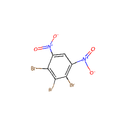 O=[N+]([O-])c1cc([N+](=O)[O-])c(Br)c(Br)c1Br